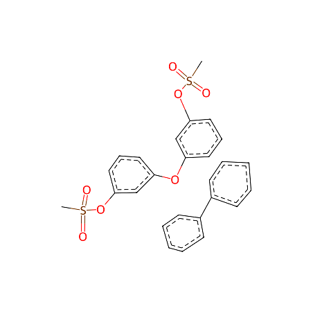 CS(=O)(=O)Oc1cccc(Oc2cccc(OS(C)(=O)=O)c2)c1.c1ccc(-c2ccccc2)cc1